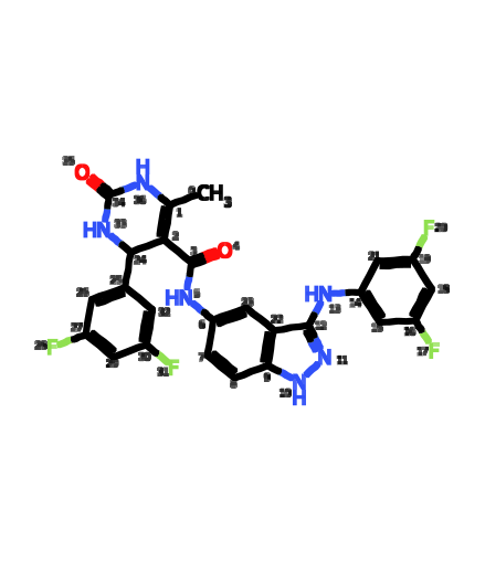 CC1=C(C(=O)Nc2ccc3[nH]nc(Nc4cc(F)cc(F)c4)c3c2)C(c2cc(F)cc(F)c2)NC(=O)N1